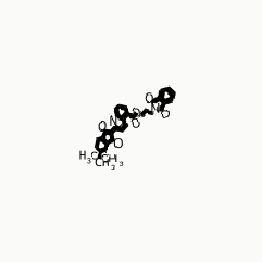 CC(C)(C)c1ccc2c(c1)C(=O)C(c1ccc3c(C(=O)OCCCN4C(=O)c5ccccc5C4=O)cccc3n1)C2=O